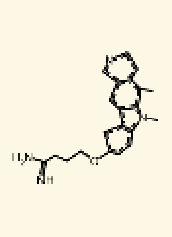 Cc1c2ccncc2cc2c3cc(OCCCC(=N)N)ccc3n(C)c12